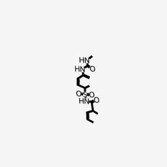 C=C(/C=C\C(C)S(=O)(=O)NC(=O)C(C)/C=C\C)NC(=O)NC